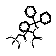 COC(=O)C(CC(=O)CP(=O)(OC)OC)NC(c1ccccc1)(c1ccccc1)c1ccccc1